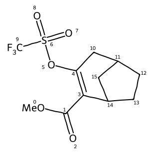 COC(=O)C1=C(OS(=O)(=O)C(F)(F)F)CC2CCC1C2